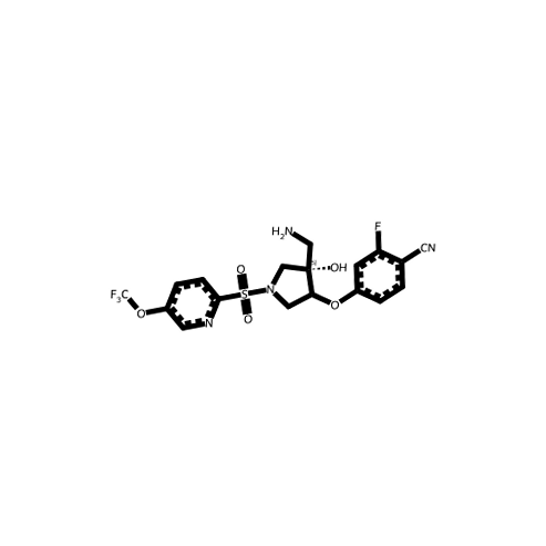 N#Cc1ccc(OC2CN(S(=O)(=O)c3ccc(OC(F)(F)F)cn3)C[C@@]2(O)CN)cc1F